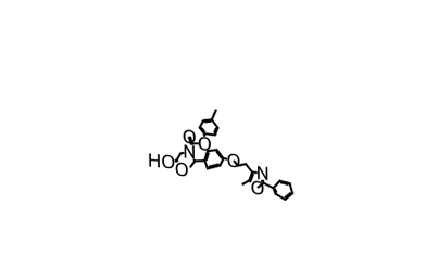 Cc1ccc(OC(=O)N(CC(=O)O)C(C)c2ccc(OCCc3nc(-c4ccccc4)oc3C)cc2)cc1